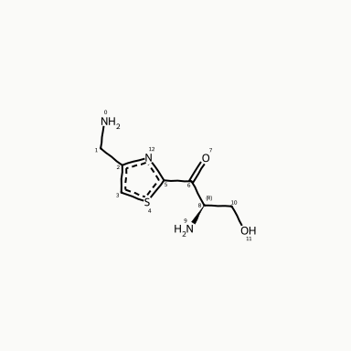 NCc1csc(C(=O)[C@H](N)CO)n1